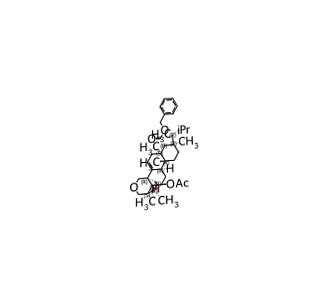 CC(=O)O[C@@H]1C[C@@]23COC[C@@](C)([C@@H]2CC[C@H]2C3=CC[C@@]3(C)[C@H](C(=O)OCc4ccccc4)[C@@](C)([C@H](C)C(C)C)CC[C@]23C)[C@H]1C